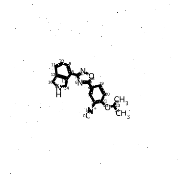 [C-]#[N+]c1cc(-c2nc(-c3cccc4c3CNC4)no2)ccc1OC(C)C